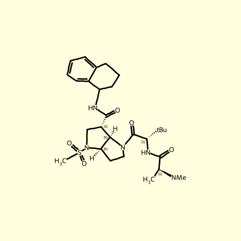 CN[C@@H](C)C(=O)N[C@H](C(=O)N1CC[C@@H]2[C@H]1[C@@H](C(=O)NC1CCCc3ccccc31)CN2S(C)(=O)=O)C(C)(C)C